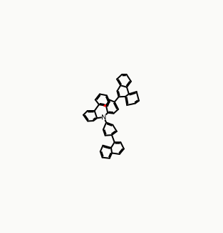 c1ccc(-c2ccccc2N(c2ccc(-c3cccc4ccccc34)cc2)c2ccc(-c3cc4ccccc4c4ccccc34)cc2)cc1